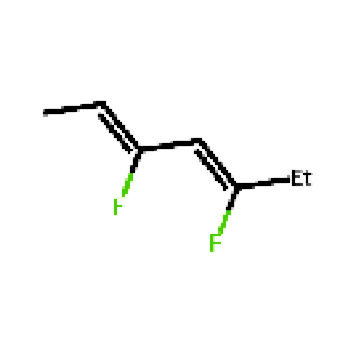 C/C=C(F)/C=C(\F)CC